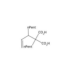 C=CC(CCCCC)C(CCCCC)(C(=O)O)C(=O)O